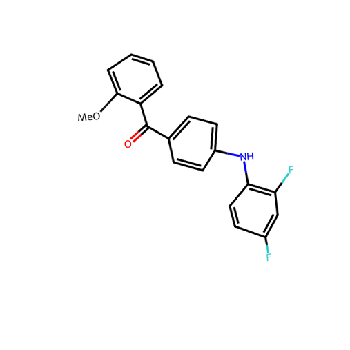 COc1ccccc1C(=O)c1ccc(Nc2ccc(F)cc2F)cc1